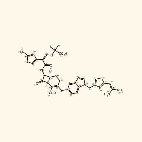 CC(C)(O/N=C(\C(=O)N[C@@H]1C(=O)N2C(C(=O)[O-])=C(C[n+]3ccc4c(ccn4Cc4csc(N=C(N)N)n4)c3)CS[C@H]12)c1csc(N)n1)C(=O)O